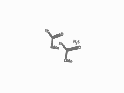 CCC(=O)OC.CCC(=O)OC.S